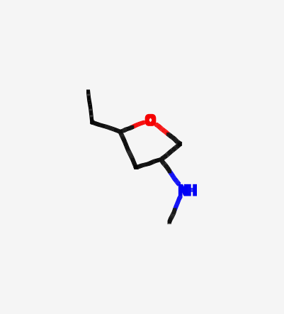 CCC1CC(NC)CO1